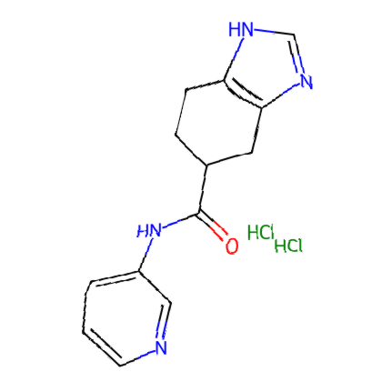 Cl.Cl.O=C(Nc1cccnc1)C1CCc2[nH]cnc2C1